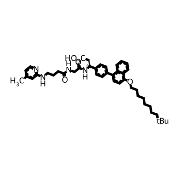 Cc1ccnc(NCCCC(=O)NCC(=O)N[C@@H](CC(=O)O)c2ccc(-c3ccc(OCCCCCCCCC(C)(C)C)c4ccccc34)cc2)c1